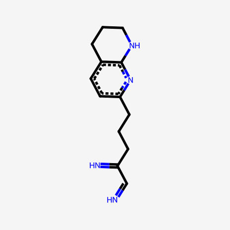 N=CC(=N)CCCc1ccc2c(n1)NCCC2